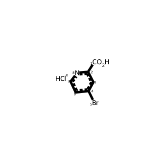 Cl.O=C(O)c1cc(Br)ccn1